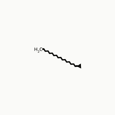 C=CCCCCCCCCCCCCCCC=C1CC1